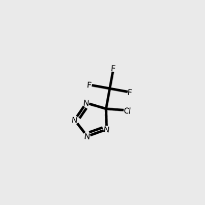 FC(F)(F)C1(Cl)N=NN=N1